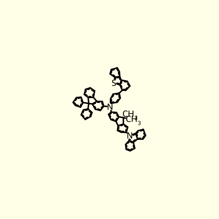 CC1(C)c2cc(N(c3ccc(-c4cccc5c4sc4ccccc45)cc3)c3ccc4c(c3)-c3ccccc3C4(c3ccccc3)c3ccccc3)ccc2-c2ccc(-n3c4ccccc4c4ccccc43)cc21